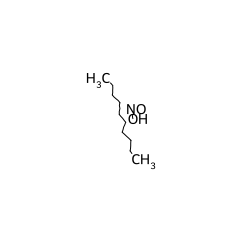 CCCCCCCCCC.O=NO